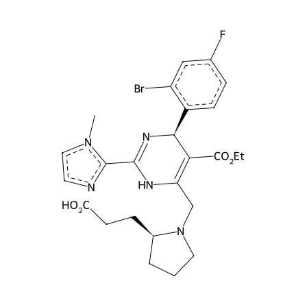 CCOC(=O)C1=C(CN2CCC[C@H]2CCC(=O)O)NC(c2nccn2C)=N[C@H]1c1ccc(F)cc1Br